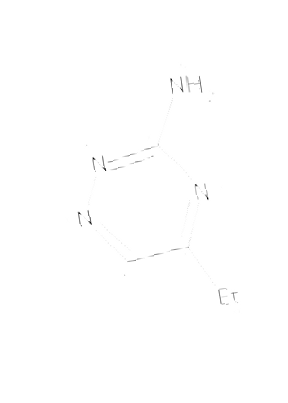 CCc1cnnc(N)n1